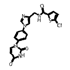 O=C(NCc1cn(-c2ccc(-n3ccc(=O)[nH]c3=O)cc2)cn1)c1ccc(Cl)s1